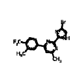 Cc1cc(-c2ccc(C(F)(F)F)c(C)c2)nc(-c2nc(Br)c[nH]2)n1